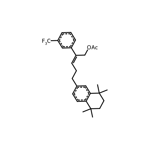 CC(=O)OC/C(=C\CCc1ccc2c(c1)C(C)(C)CCC2(C)C)c1cccc(C(F)(F)F)c1